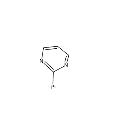 [P]c1ncccn1